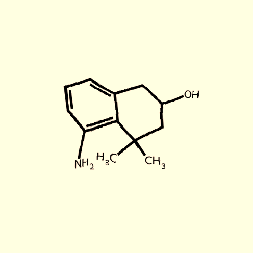 CC1(C)CC(O)Cc2cccc(N)c21